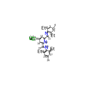 CCc1cc(C)cc(CC)c1N=C(C)c1cc(C)cc(C(C)=Nc2c(CC)cc(C)cc2CC)n1.[Cl-].[Cl-].[V+2]